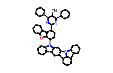 N#Cc1c(-c2ccccc2)nc(-c2ccc(-n3c4ccccc4c4cc5c6cccc7c8ccccc8n(c5cc43)c76)c3oc4ccccc4c23)nc1-c1ccccc1